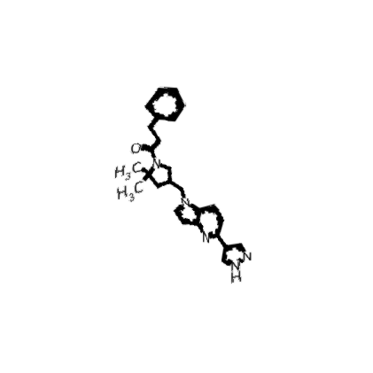 CC1(C)CC(Cn2ccc3nc(-c4cn[nH]c4)ccc32)CN1C(=O)CCc1ccccc1